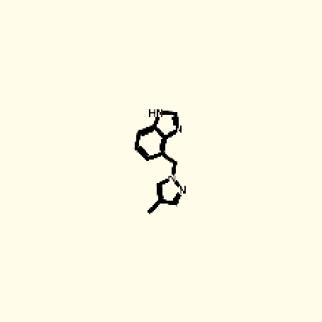 Cc1cnn(Cc2cccc3[nH]cnc23)c1